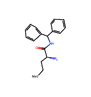 CSCC[C@H](N)C(=O)NC(c1ccccc1)c1ccccc1